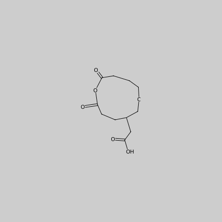 O=C(O)CC1CCCCCC(=O)OC(=O)CC1